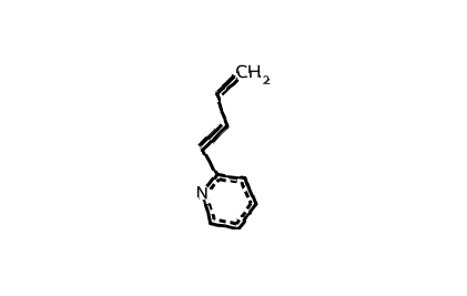 C=C/C=C/c1ccccn1